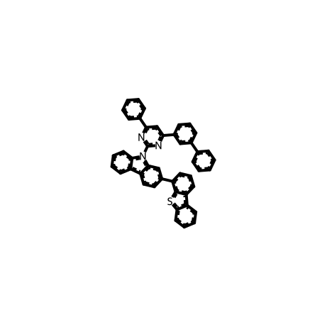 c1ccc(-c2cccc(-c3cc(-c4ccccc4)nc(-n4c5ccccc5c5ccc(-c6cccc7c6sc6ccccc67)cc54)n3)c2)cc1